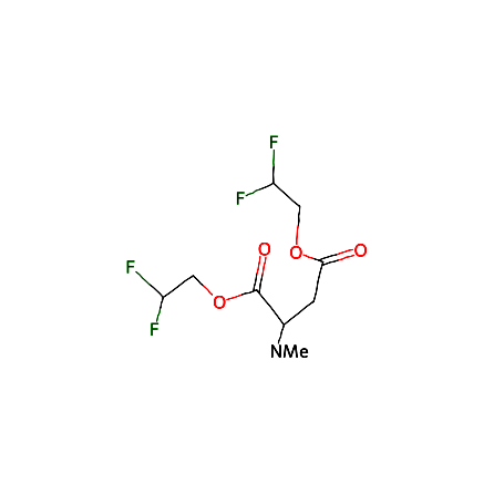 CNC(CC(=O)OCC(F)F)C(=O)OCC(F)F